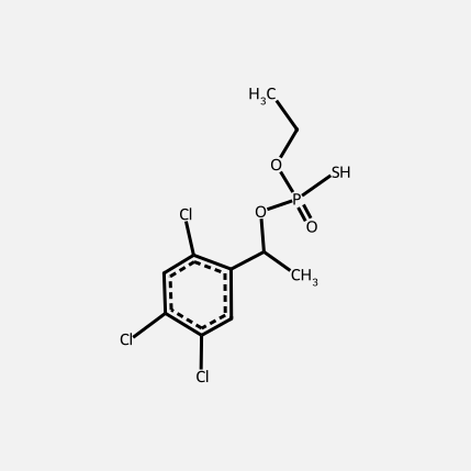 CCOP(=O)(S)OC(C)c1cc(Cl)c(Cl)cc1Cl